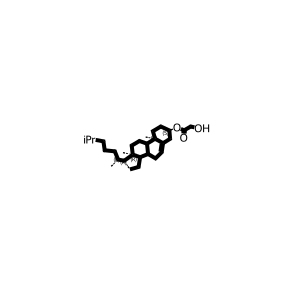 CC(C)CCC[C@@H](C)[C@H]1CCC2C3CC=C4C[C@@H](OC(=O)CO)CC[C@]4(C)C3CC[C@@]21C